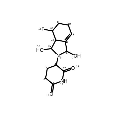 O=C1CCC(N2C(O)C3=CCCC(F)C3C2O)C(=O)N1